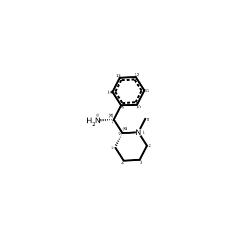 CN1CCCC[C@@H]1[C@H](N)c1ccccc1